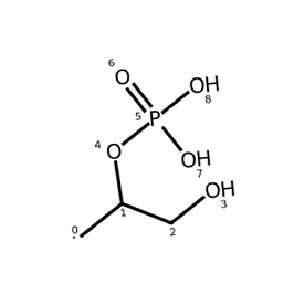 [CH2]C(CO)OP(=O)(O)O